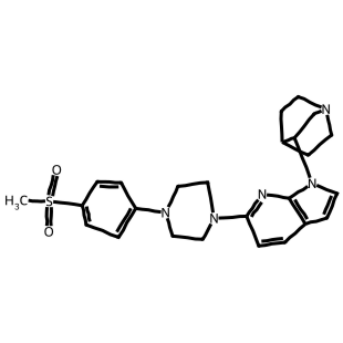 CS(=O)(=O)c1ccc(N2CCN(c3ccc4ccn(C5CN6CCC5CC6)c4n3)CC2)cc1